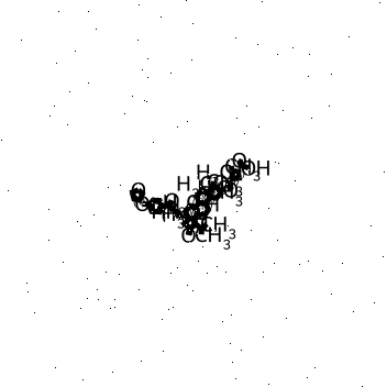 CC(C)C1=C2[C@H]3CC[C@@H]4[C@@]5(C)CC[C@H](OC(=O)[C@H]6C[C@@H](C(=O)O)C6(C)C)C(C)(C)[C@@H]5CC[C@@]4(C)[C@]3(C)CC[C@@]2(CCNC(=O)c2ccc(O[C@@H]3CCOC3)cc2)CC1=O